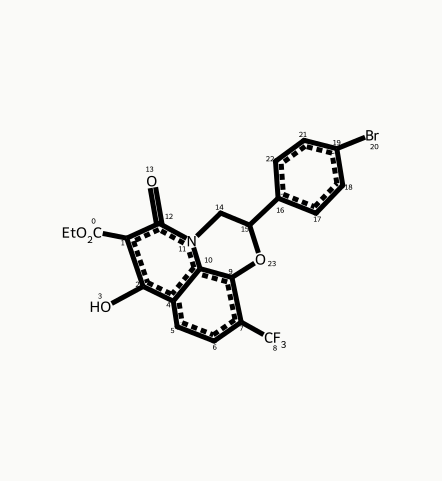 CCOC(=O)c1c(O)c2ccc(C(F)(F)F)c3c2n(c1=O)CC(c1ccc(Br)cc1)O3